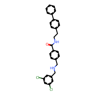 O=C(NCCc1ccc(-c2ccccc2)cc1)c1ccc(CNCc2cc(Cl)cc(Cl)c2)cc1